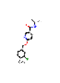 COc1ccc(COc2ccc(C(=O)N[C@H](C)C(C)(C)C)cn2)cc1F